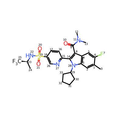 Cc1cc2c(cc1F)c(C(=O)N(C)C)c(-c1ccc(S(=O)(=O)N[C@@H](C)C(F)(F)F)cn1)n2C1CCCC1